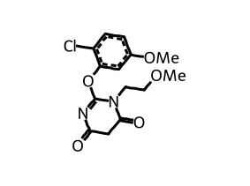 COCCN1C(=O)CC(=O)N=C1Oc1cc(OC)ccc1Cl